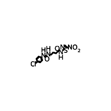 O=C(CCCNC(=O)Nc1ccc(Cl)cc1)Nc1ncc([N+](=O)[O-])s1